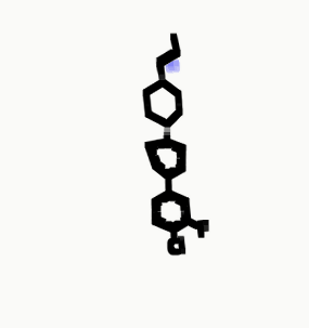 C/C=C/[C@H]1CC[C@H](c2ccc(-c3ccc(Cl)c(F)c3)cc2)CC1